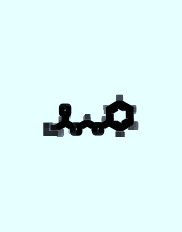 CCC(=O)OCOc1cc[c]cc1